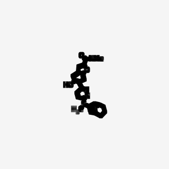 CNC(=O)c1cc2cc(O)c(-c3ccc(N(C)C4CC5CCCC(C4)N5)nn3)cc2o1